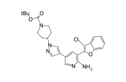 CC(C)(C)OC(=O)N1CCC(n2cc(-c3cnc(N)c(-c4oc5ccccc5c4Cl)c3)cn2)CC1